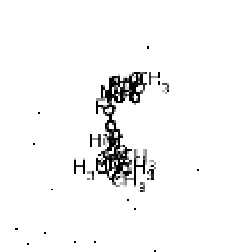 COC(=O)N[C@H](C(=O)N1C2C(C)C2C[C@H]1c1nc2ccc3cc(-c4ccc(-c5cnc([C@@H]6C7CC[C@H](C7)N6C(=O)[C@H](NC(=O)OC)c6ccccc6)[nH]5)c(F)c4)ccc3c2[nH]1)C(C)C